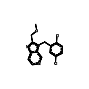 COCc1nc2ccncc2n1Cc1cc(Cl)ccc1Cl